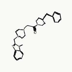 Cn1c(CN2CCN(CC(=O)N3CCC(Cc4ccccc4)CC3)CC2)nc2ccccc21